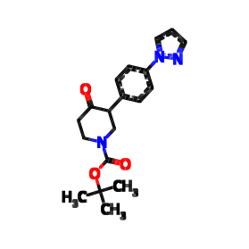 CC(C)(C)OC(=O)N1CCC(=O)C(c2ccc(-n3cccn3)cc2)C1